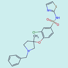 CC1(Oc2ccc(S(=O)(=O)Nc3nccs3)cc2Cl)CCN(Cc2ccccc2)C1